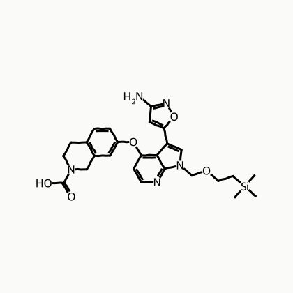 C[Si](C)(C)CCOCn1cc(-c2cc(N)no2)c2c(Oc3ccc4c(c3)CN(C(=O)O)CC4)ccnc21